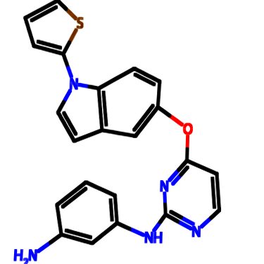 Nc1cccc(Nc2nccc(Oc3ccc4c(ccn4-c4cccs4)c3)n2)c1